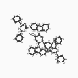 N#Cc1cc(-c2cc(-n3c4ccccc4c4ccc(-c5nc(-c6ccccc6)nc(-c6ccccc6)n5)cc43)c(C#N)cc2-n2c3ccccc3c3ccc(-c4nc(-c5ccccc5)nc(-c5ccccc5)n4)cc32)cc(C(F)(F)F)c1